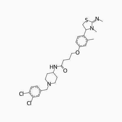 CN=C1SCC(c2ccc(OCCCC(=O)NC3CCN(Cc4ccc(Cl)c(Cl)c4)CC3)cc2C)N1C